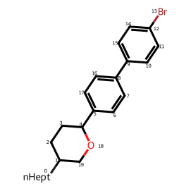 CCCCCCCC1CCC(c2ccc(-c3ccc(Br)cc3)cc2)OC1